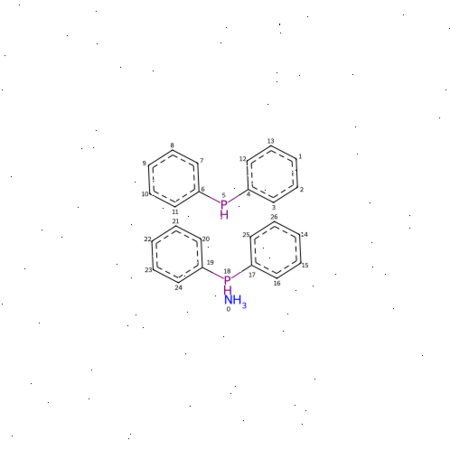 N.c1ccc(Pc2ccccc2)cc1.c1ccc(Pc2ccccc2)cc1